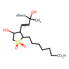 CCCCCC(C)(O)/C=C/C1C(O)CS(=O)(=O)C1CCCCCCC(=O)O